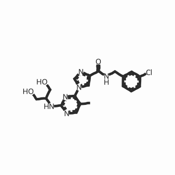 Cc1cnc(NC(CO)CO)nc1-n1cnc(C(=O)NCc2cccc(Cl)c2)c1